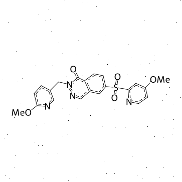 COc1ccnc(S(=O)(=O)c2ccc3c(=O)n(Cc4ccc(OC)nc4)ncc3c2)c1